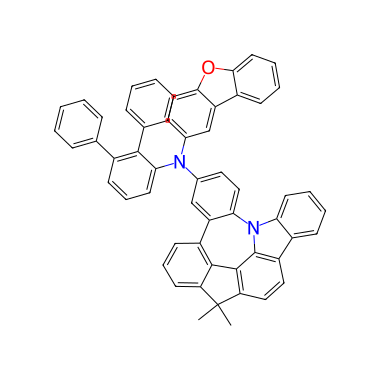 CC1(C)c2cccc3c2-c2c1ccc1c4ccccc4n(c21)-c1ccc(N(c2ccc4oc5ccccc5c4c2)c2cccc(-c4ccccc4)c2-c2ccccc2)cc1-3